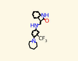 O=C1Nc2ccccc2C1=CNc1ccc(N2CCCCCC2)c(C(F)(F)F)c1